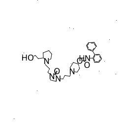 O=C(Nc1ccccc1-c1ccccc1)OC1CCN(CCCN2CCN(CCCN3CCCCC3CCO)C2=O)CC1